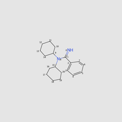 N=C(c1ccccc1)N(C1CCCCC1)C1CCCCC1